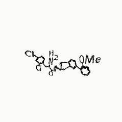 COc1ccccc1-c1ccc2c(c1)CN(C(=O)C(N)Cc1ccc(Cl)cc1Cl)C2